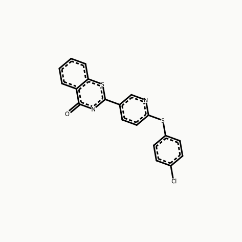 O=c1nc(-c2ccc(Sc3ccc(Cl)cc3)nc2)sc2ccccc12